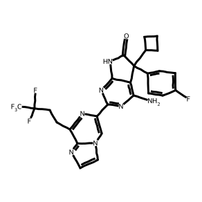 Nc1nc(-c2cn3ccnc3c(CCC(F)(F)C(F)(F)F)n2)nc2c1C(c1ccc(F)cc1)(C1CCC1)C(=O)N2